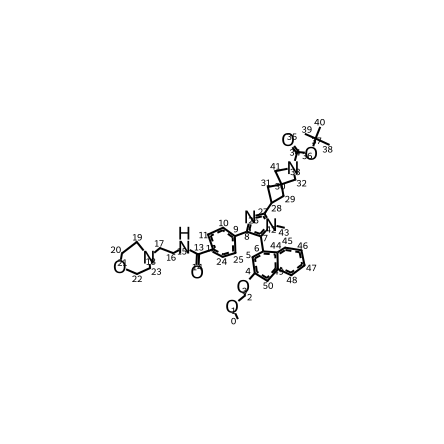 COCOc1cc(-c2c(-c3ccc(C(=O)NCCN4CCOCC4)cc3)nc(C3CC4(C3)CN(C(=O)OC(C)(C)C)C4)n2C)c2ccccc2c1